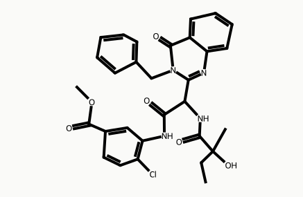 CCC(C)(O)C(=O)NC(C(=O)Nc1cc(C(=O)OC)ccc1Cl)c1nc2ccccc2c(=O)n1Cc1ccccc1